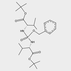 CC(C)[C@H](NP(=O)(N[C@H](C(=O)OC(C)(C)C)C(C)C)OCc1ccccc1)C(=O)OC(C)(C)C